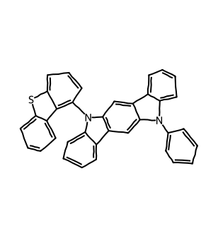 c1ccc(-n2c3ccccc3c3cc4c(cc32)c2ccccc2n4-c2cccc3sc4ccccc4c23)cc1